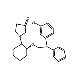 O=C1CCN(C2CCCC[C@@H]2OCC(c2ccccc2)c2cccc(Cl)c2)C1